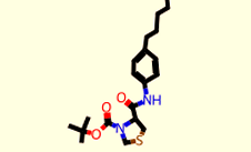 CCCCCc1ccc(NC(=O)C2CSCN2C(=O)OC(C)(C)C)cc1